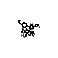 BC(B)(B)C(B)(B)n1cc(C(F)(F)F)nc1-c1ccc(CBr)cc1